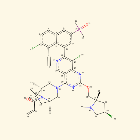 C#Cc1c(F)ccc2cc(P(C)(C)=O)cc(-c3ncc4c(N5C[C@H]6CC(C)(C#N)[C@@H](C5)N6C(=O)C=C)nc(OC[C@]5(C)C[C@@H](F)CN5C)nc4c3F)c12